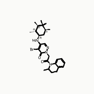 CC1CCc2ccccc2N1C(=O)Cn1ncc(N[C@@H]2C[C@H](C)C(C)(C)[C@H](C)[C@H]2C)c(Br)c1=O